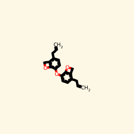 C=CCc1ccc(Oc2ccc(CC=C)c3c2OC3)c2c1CO2